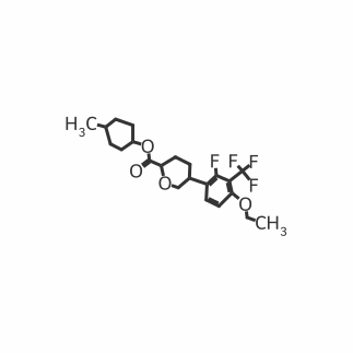 CCOc1ccc(C2CCC(C(=O)OC3CCC(C)CC3)OC2)c(F)c1C(F)(F)F